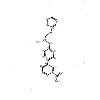 CN(CCc1ccccc1)Cc1ccc(-c2cccc(C(N)=O)c2)cc1